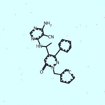 CC(Nc1ncnc(N)c1C#N)c1cc(=O)n(Cc2ccccc2)nc1-c1ccccc1